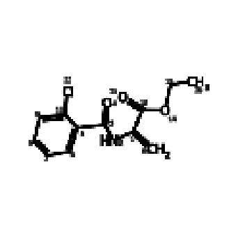 C=C(NC(=O)c1ccccc1Cl)C(=O)OCC